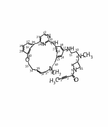 CC#CC(=O)N1CC(N(C)CCNc2cc3cc(c2)Nc2nccc(n2)-c2cccc(c2)OCC/C=C/CN(C)C3)C1